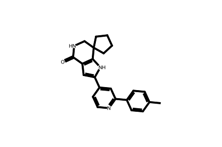 Cc1ccc(-c2cc(-c3cc4c([nH]3)C3(CCCC3)CNC4=O)ccn2)cc1